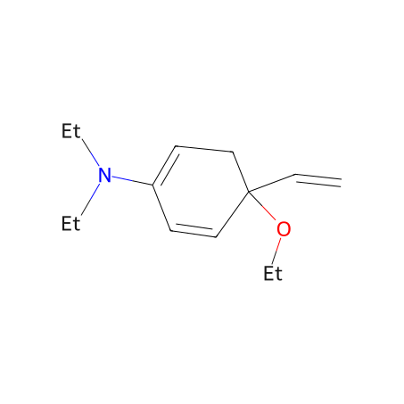 C=CC1(OCC)C=CC(N(CC)CC)=CC1